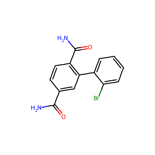 NC(=O)c1ccc(C(N)=O)c(-c2ccccc2Br)c1